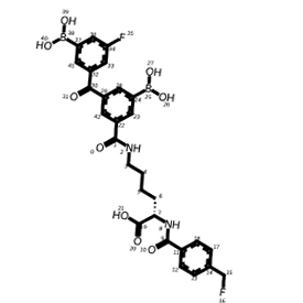 O=C(NCCCC[C@H](NC(=O)c1ccc(CF)cc1)C(=O)O)c1cc(B(O)O)cc(C(=O)c2cc(F)cc(B(O)O)c2)c1